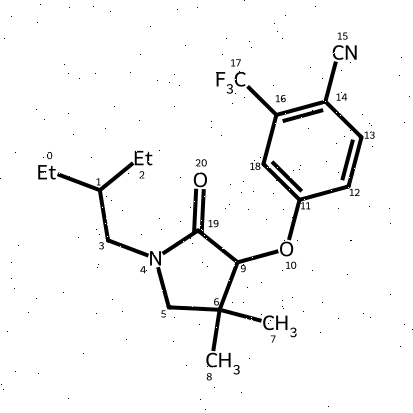 CCC(CC)CN1CC(C)(C)C(Oc2ccc(C#N)c(C(F)(F)F)c2)C1=O